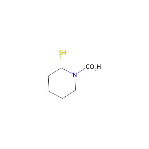 O=C(O)N1CCCCC1S